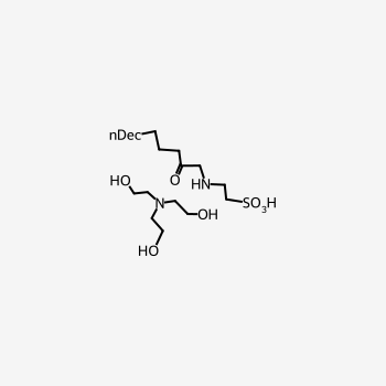 CCCCCCCCCCCCCC(=O)CNCCS(=O)(=O)O.OCCN(CCO)CCO